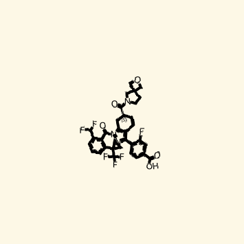 O=C(O)c1ccc(-c2nn(C(=O)c3c(C(F)F)cccc3C3(C(F)(F)F)CC3)c3c2CC[C@H](C(=O)N2CCC4(COC4)C2)C3)c(F)c1